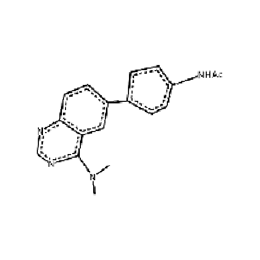 CC(=O)Nc1ccc(-c2ccc3ncnc(N(C)C)c3c2)cc1